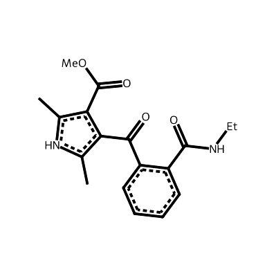 CCNC(=O)c1ccccc1C(=O)c1c(C)[nH]c(C)c1C(=O)OC